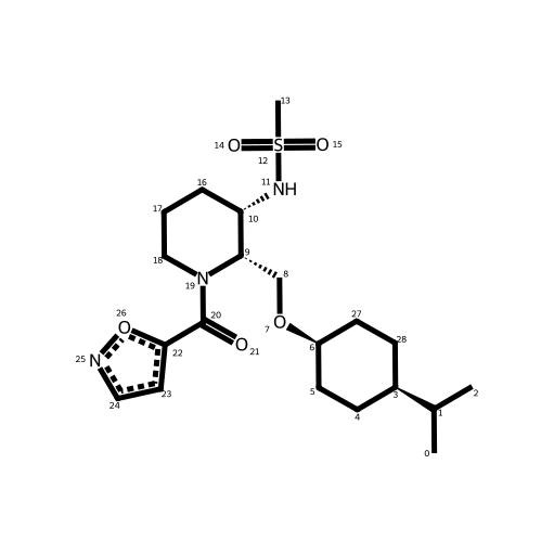 CC(C)[C@H]1CC[C@@H](OC[C@H]2[C@@H](NS(C)(=O)=O)CCCN2C(=O)c2ccno2)CC1